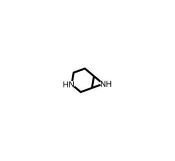 C1CC2NC2CN1